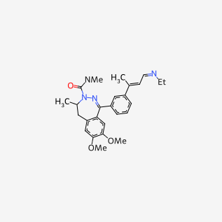 CC/N=C\C=C(/C)c1cccc(C2=NN(C(=O)NC)C(C)Cc3cc(OC)c(OC)cc32)c1